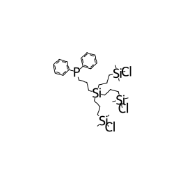 C[Si](C)(Cl)CCC[Si](CCCP(c1ccccc1)c1ccccc1)(CCC[Si](C)(C)Cl)CCC[Si](C)(C)Cl